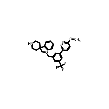 COc1ccc(-c2cc(COCC3(c4ccccc4)CCNCC3)cc(C(F)(F)F)c2)nn1